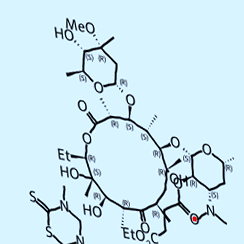 CCOC(=O)CCC(=O)O[C@H]1[C@H](O[C@@H]2[C@@H](C)[C@H](O[C@H]3C[C@@](C)(OC)[C@@H](O)[C@H](C)O3)[C@@H](C)C(=O)O[C@H](CC)[C@@](C)(O)[C@H](O)[C@@H](C)C(=O)[C@H](C)C[C@@]2(C)O)O[C@H](C)C[C@@H]1N(C)C.CN1CSC(=S)N(C)C1